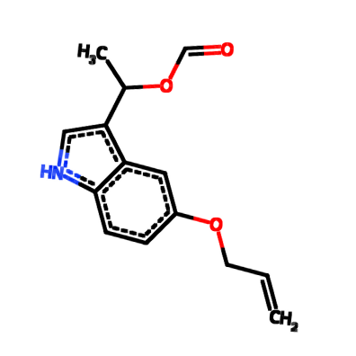 C=CCOc1ccc2[nH]cc(C(C)OC=O)c2c1